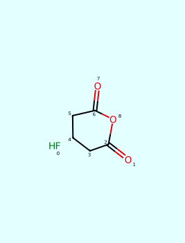 F.O=C1CCCC(=O)O1